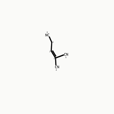 N#CCC=C(C#N)C#N